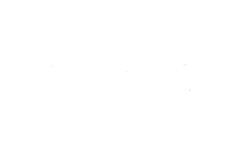 COc1cc2c(cc1OC)CN(C(=O)OCCCC(N)=O)CC2